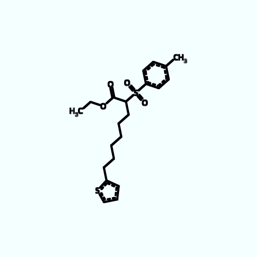 CCOC(=O)C(CCCCCCc1cccs1)S(=O)(=O)c1ccc(C)cc1